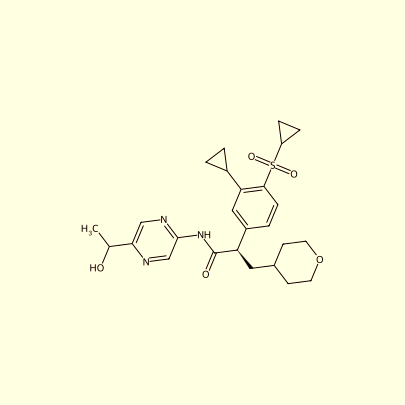 CC(O)c1cnc(NC(=O)[C@H](CC2CCOCC2)c2ccc(S(=O)(=O)C3CC3)c(C3CC3)c2)cn1